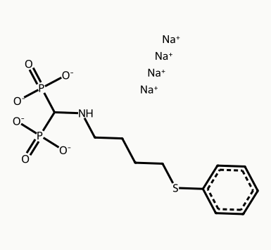 O=P([O-])([O-])C(NCCCCSc1ccccc1)P(=O)([O-])[O-].[Na+].[Na+].[Na+].[Na+]